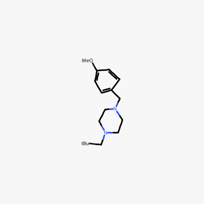 COc1ccc(CN2CCN(CC(C)(C)C)CC2)cc1